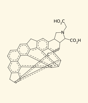 O=C(O)CN1CC2c3cc4c5c6c(cc7ccc8cc9c%10c%11c(cc(c%12c3c5c(c%12%11)c3c6c7c8c%103)C2C1C(=O)O)C9)C4